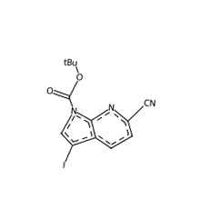 CC(C)(C)OC(=O)n1cc(I)c2ccc(C#N)nc21